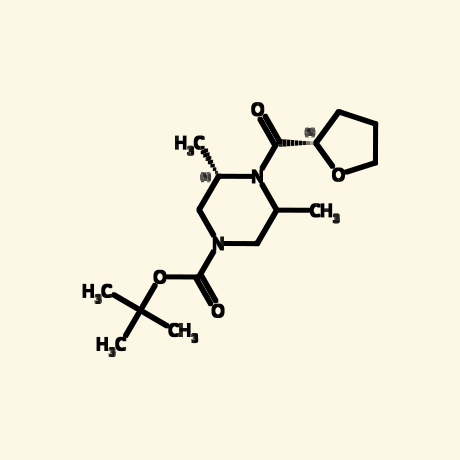 CC1CN(C(=O)OC(C)(C)C)C[C@H](C)N1C(=O)[C@@H]1CCCO1